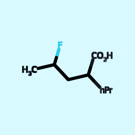 CCCC(CC(C)F)C(=O)O